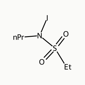 CCCN(I)S(=O)(=O)CC